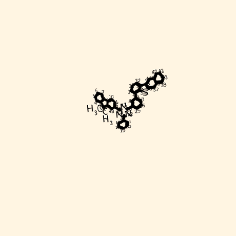 CC1(C)c2ccccc2-c2ccc(-c3nc(-c4ccccc4)nc(-c4cccc(-c5cccc6c5sc5cc7ccccc7cc56)c4)n3)cc21